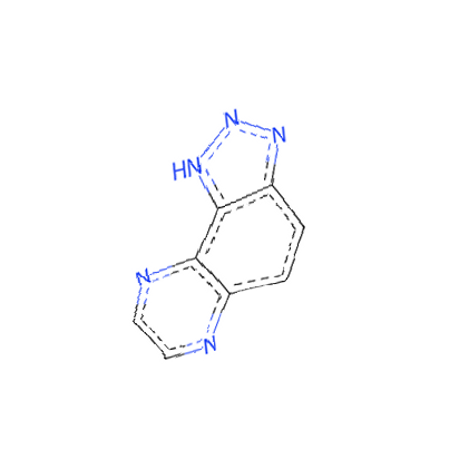 c1cnc2c(ccc3nn[nH]c32)n1